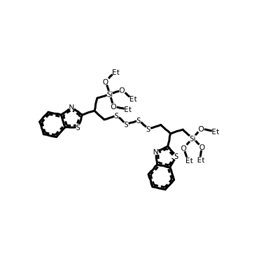 CCO[Si](CC(CSSSSCC(C[Si](OCC)(OCC)OCC)c1nc2ccccc2s1)c1nc2ccccc2s1)(OCC)OCC